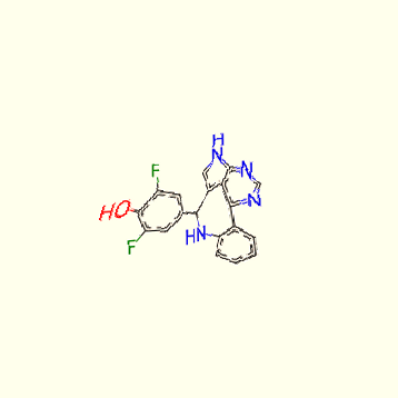 Oc1c(F)cc(C2Nc3ccccc3-c3ncnc4[nH]cc2c34)cc1F